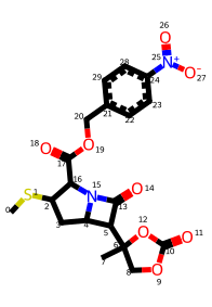 CSC1CC2C(C3(C)COC(=O)O3)C(=O)N2C1C(=O)OCc1ccc([N+](=O)[O-])cc1